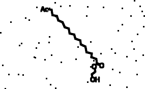 CC(=O)CCCCCCCCCCCCCCCCCC(=O)OCCO